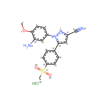 COc1ccc(-n2nc(C#N)cc2-c2ccc(S(C)(=O)=O)cc2)cc1N.Cl